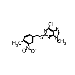 Cc1ccc(CSc2nc(Cl)c3ncn(C)c3n2)cc1[N+](=O)[O-]